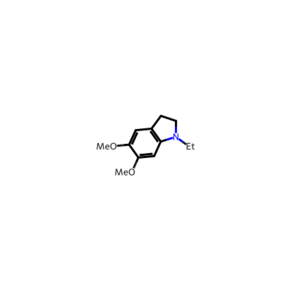 CCN1CCc2cc(OC)c(OC)cc21